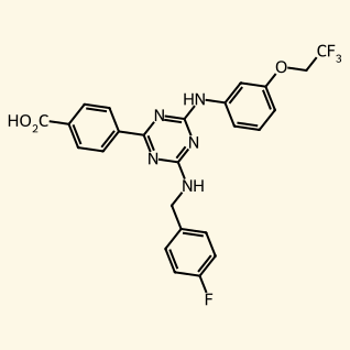 O=C(O)c1ccc(-c2nc(NCc3ccc(F)cc3)nc(Nc3cccc(OCC(F)(F)F)c3)n2)cc1